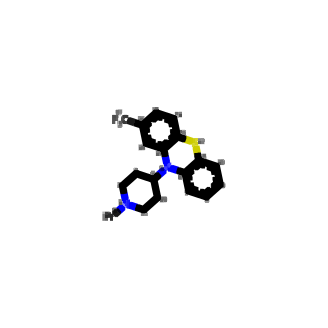 CC(C)N1CCC(N2c3ccccc3Sc3ccc(C(F)(F)F)cc32)CC1